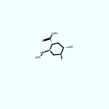 COC(=O)[C@@H]1C[C@H](O)[C@@H](I)CN1BC=O